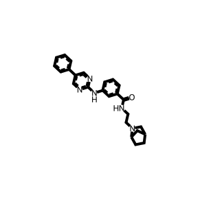 O=C(NCCN1CC2CCC1C2)c1cccc(Nc2ncc(-c3ccccc3)cn2)c1